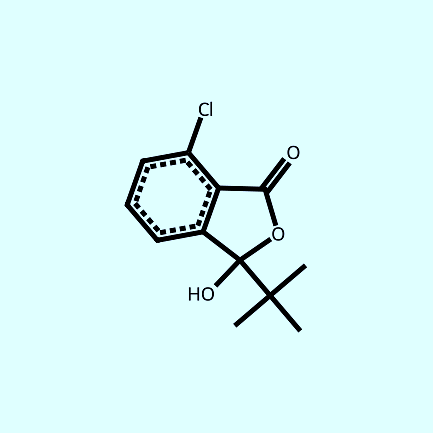 CC(C)(C)C1(O)OC(=O)c2c(Cl)cccc21